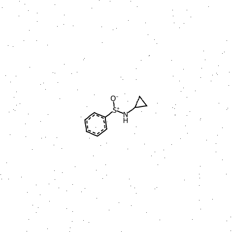 [O-][S+](NC1CC1)c1ccccc1